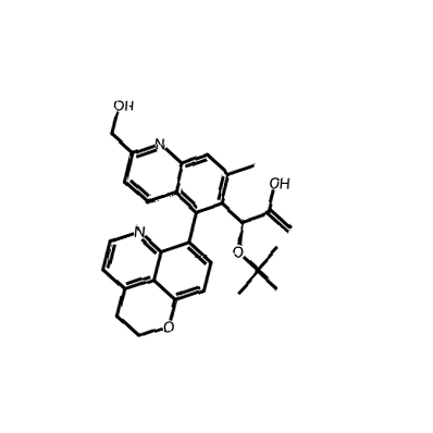 C=C(O)[C@@H](OC(C)(C)C)c1c(C)cc2nc(CO)ccc2c1-c1ccc2c3c(ccnc13)CCO2